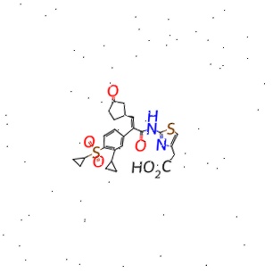 O=C(O)Cc1csc(NC(=O)/C(=C/[C@H]2CCC(=O)C2)c2ccc(S(=O)(=O)C3CC3)c(C3CC3)c2)n1